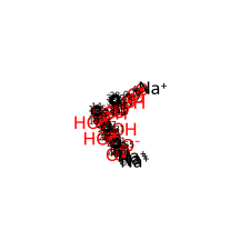 CC(=O)[O-].CC(=O)[O-].O=C(O)c1ccccc1C(=O)O.O=C(O)c1ccccc1C(=O)O.O=C(O)c1ccccc1C(=O)O.O=C([O-])c1ccccc1C(=O)[O-].[Na+].[Na+].[Na+].[Na+]